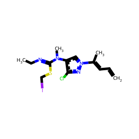 C=C/C=C(\C)n1cc(N(C)/C(=N/CC)SCI)c(Cl)n1